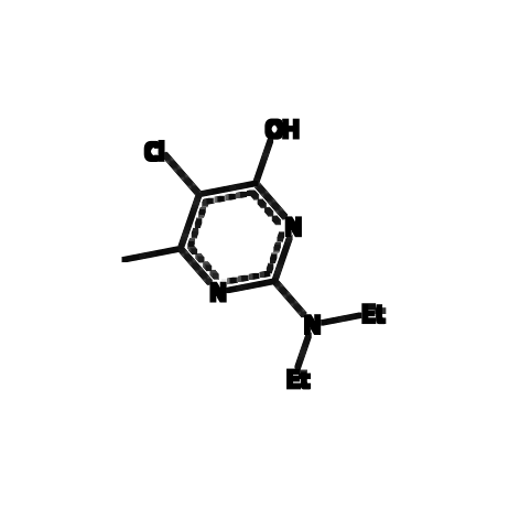 CCN(CC)c1nc(C)c(Cl)c(O)n1